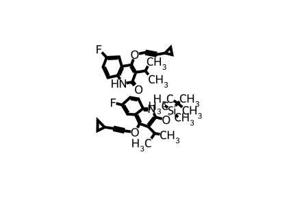 CC(C)c1c(OC#CC2CC2)c2cc(F)ccc2[nH]c1=O.CC(C)c1c(O[Si](C)(C)C(C)(C)C)nc2ccc(F)cc2c1OC#CC1CC1